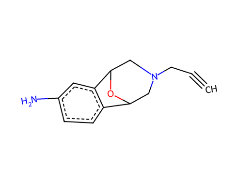 C#CCN1CC2OC(C1)c1cc(N)ccc12